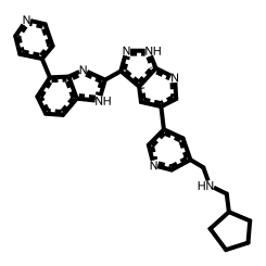 c1cc(-c2ccncc2)c2nc(-c3n[nH]c4ncc(-c5cncc(CNCC6CCCC6)c5)cc34)[nH]c2c1